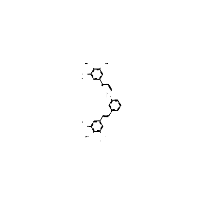 COc1cc(C=Cc2cccc(N/C=C\C(=O)c3cc(OC)c(OC)c(OC)c3)c2)cc(OC)c1OC